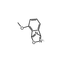 COc1cccc2c1C1=NC2=[N+]O1